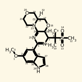 COc1cc(C2=NC(C(C)(C)S(C)(=O)=O)C3OC[C@@H]4COCCN4C3=N2)c2cc[nH]c2c1